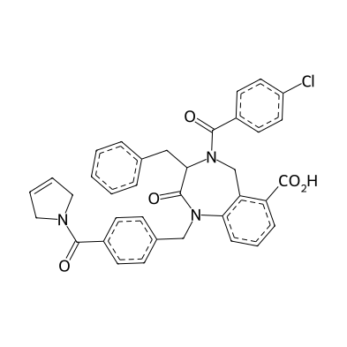 O=C(O)c1cccc2c1CN(C(=O)c1ccc(Cl)cc1)C(Cc1ccccc1)C(=O)N2Cc1ccc(C(=O)N2CC=CC2)cc1